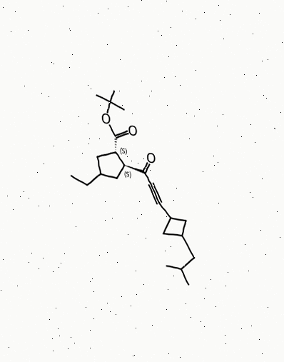 CCC1C[C@H](C(=O)C#CC2CC(CC(C)C)C2)[C@@H](C(=O)OC(C)(C)C)C1